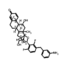 C[C@]12C=CC(=O)C=C1CC[C@@H]1[C@@H]2[C@@H](O)C[C@@]2(C)[C@H]1C[C@H]1O[C@H](c3c(F)ccc(Cc4cccc(N)c4)c3F)O[C@]12C(=O)CO